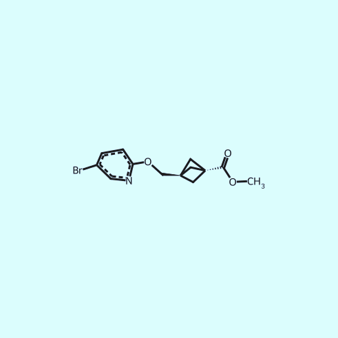 COC(=O)[C@]12C[C@@](COc3ccc(Br)cn3)(C1)C2